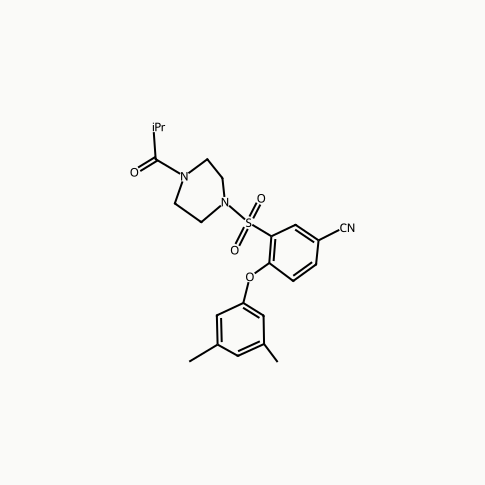 Cc1cc(C)cc(Oc2ccc(C#N)cc2S(=O)(=O)N2CCN(C(=O)C(C)C)CC2)c1